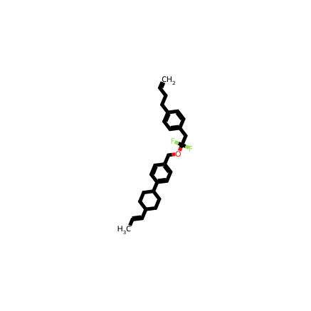 C=CCCc1ccc(CC(F)(F)OCc2ccc(C3CCC(C=CC)CC3)cc2)cc1